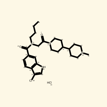 CCCCN(CC(=O)N1CCC(C2CCN(C)CC2)CC1)C(=O)c1ccc2c(Cl)c[nH]c2c1.Cl